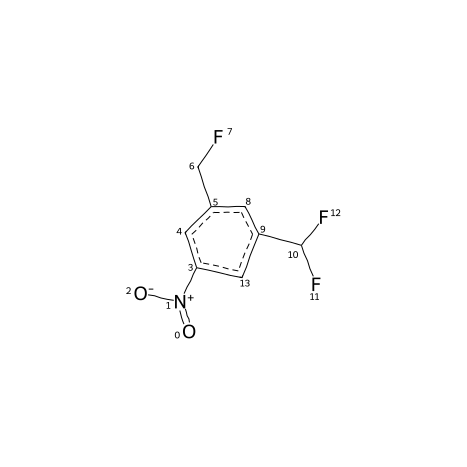 O=[N+]([O-])c1cc(CF)cc(C(F)F)c1